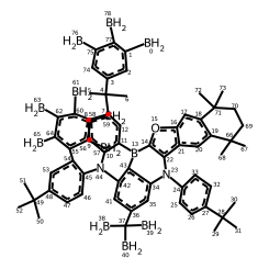 Bc1cc(C(C)(C)c2ccc3c(c2)B2c4oc5cc6c(cc5c4N(c4ccc(C(C)(C)C)cc4)c4cc(C(B)(B)B)cc(c42)N3c2ccc(C(C)(C)C)cc2-c2c(B)c(B)c(B)c(B)c2B)C(C)(C)CCC6(C)C)cc(B)c1B